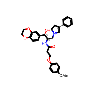 COc1ccc(OCCC(=O)N[C@H](CN2CC[C@H](c3ccccc3)C2)[C@H](O)c2ccc3c(c2)OCCO3)cc1